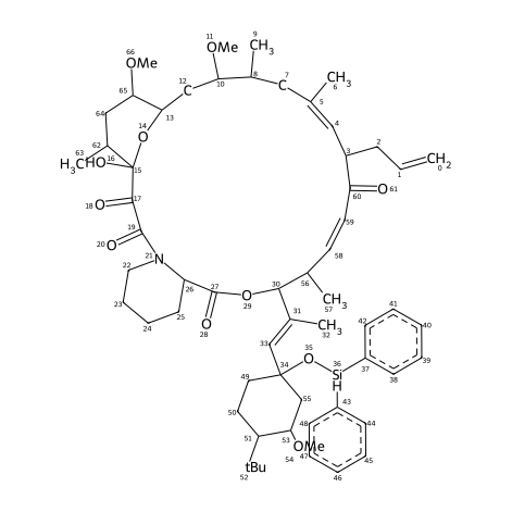 C=CCC1C=C(C)CC(C)C(OC)CC2OC(O)(C(=O)C(=O)N3CCCCC3C(=O)OC(C(C)=CC3(O[SiH](c4ccccc4)c4ccccc4)CCC(C(C)(C)C)C(OC)C3)C(C)C=CC1=O)C(C)CC2OC